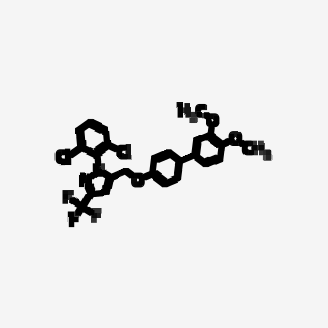 COc1ccc(-c2ccc(OCc3cc(C(F)(F)F)nn3-c3c(Cl)cccc3Cl)cc2)cc1OC